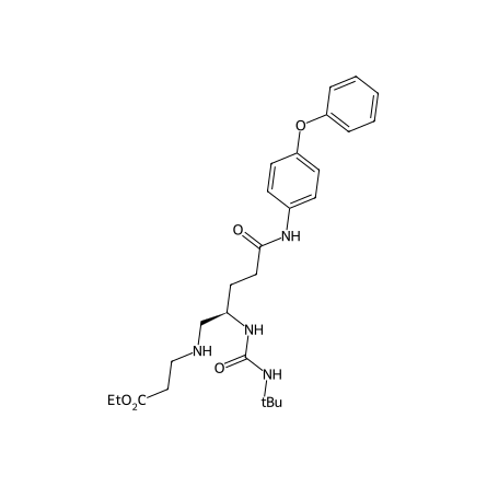 CCOC(=O)CCNC[C@@H](CCC(=O)Nc1ccc(Oc2ccccc2)cc1)NC(=O)NC(C)(C)C